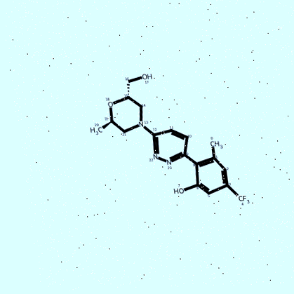 Cc1cc(C(F)(F)F)cc(O)c1-c1ccc(N2C[C@@H](CO)O[C@H](C)C2)nn1